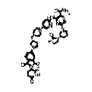 CN1CCN([C@@H]2CCCN(c3cnc(C(N)=O)c(Nc4ccc(N5CCN(C[C@H]6CCN(c7ccc8c(c7)C(=O)N(C7CCC(=O)NC7=O)C8=O)C6)CC5)cn4)n3)C2)C1=O